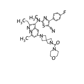 CCc1nn2c(C)cc(N3CC4(CN(C(=O)N5CCOCC5)C4)C3)cc2c1N(C)c1nc(-c2ccc(F)cc2)c(C#N)s1